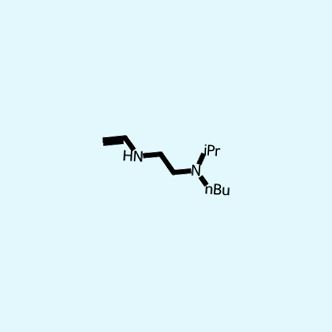 C=CNCCN(CCCC)C(C)C